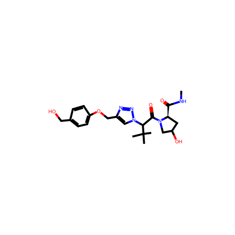 CNC(=O)[C@H]1CC(O)CN1C(=O)C(n1cc(COc2ccc(CO)cc2)nn1)C(C)(C)C